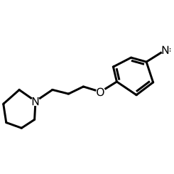 [N]c1ccc(OCCCN2CCCCC2)cc1